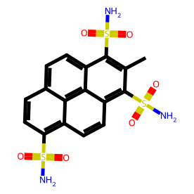 Cc1c(S(N)(=O)=O)c2ccc3ccc(S(N)(=O)=O)c4ccc(c1S(N)(=O)=O)c2c34